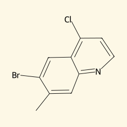 Cc1cc2nccc(Cl)c2cc1Br